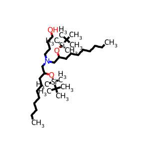 CCCCCCCCC(CN(CCCCO)CC(CCCCCCCC)O[Si](C)(C)C(C)(C)C)O[Si](C)(C)C(C)(C)C